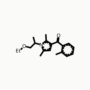 CCOCC(C)n1c(C)cc(C(=O)c2ccccc2C)c1C